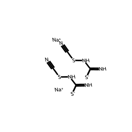 N#CSNC(=N)[S-].N#CSNC(=N)[S-].[Na+].[Na+]